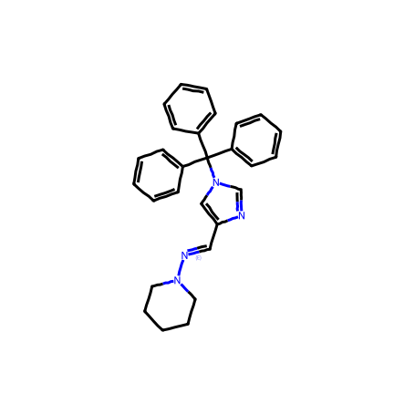 C(=N\N1CCCCC1)/c1cn(C(c2ccccc2)(c2ccccc2)c2ccccc2)cn1